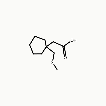 CSCC1(CC(=O)O)CCCCC1